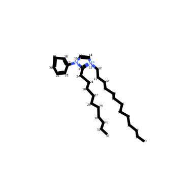 CCCCCCCCCCCCC[n+]1ccn(-c2ccccc2)c1CCCCCCCCCC